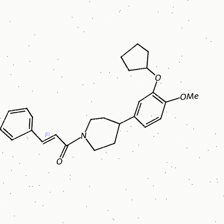 COc1ccc(C2CCN(C(=O)/C=C/c3ccccc3)CC2)cc1OC1CCCC1